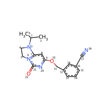 CC(C)N1CCn2c1cc(OCc1cccc(C#N)c1)nc2=O